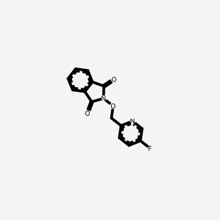 O=C1c2ccccc2C(=O)N1OCc1ccc(F)cn1